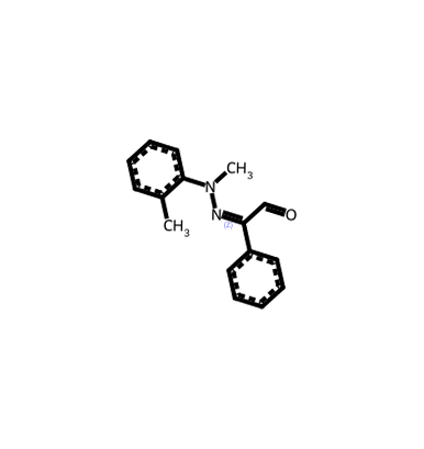 Cc1ccccc1N(C)/N=C(\C=O)c1ccccc1